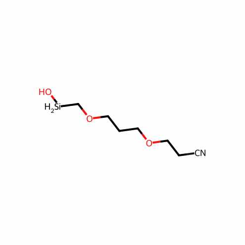 N#CCCOCCCOC[SiH2]O